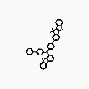 CC1(C)c2cc(-c3ccc(N(c4ccc(-c5ccccc5)cc4)c4cccc5c4oc4ccccc45)cc3)ccc2-c2sc3ccccc3c21